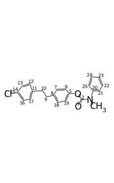 CN(C(=O)Oc1ccc(CCc2ccc(Cl)cc2)cc1)c1ccccc1